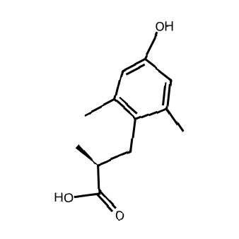 Cc1cc(O)cc(C)c1C[C@H](C)C(=O)O